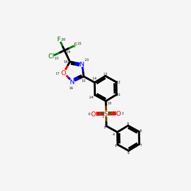 O=S(=O)(Cc1ccccc1)c1[c]ccc(-c2noc(C(F)(F)Cl)n2)c1